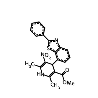 COC(=O)C1=C(C)NC(C)=C([N+](=O)[O-])C1c1cccc2nc(-c3ccccc3)sc12